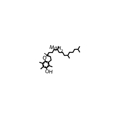 Cc1c(C)c2c(c(C)c1O)CC[C@@](C)(CCCC(C)CCCC(C)CCCC(C)C)O2.[MgH2]